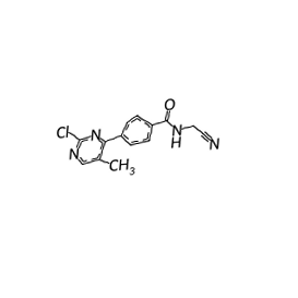 Cc1cnc(Cl)nc1-c1ccc(C(=O)NCC#N)cc1